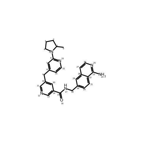 CC1CCCN1c1cc(Cc2cncc(C(=O)NCc3ccc4c(N)nccc4c3)c2)ccn1